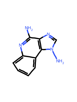 Nc1nc2ccccc2c2c1ncn2N